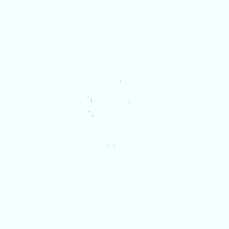 Cc1ccn2ncc(C(C)C(C)C)c2c1